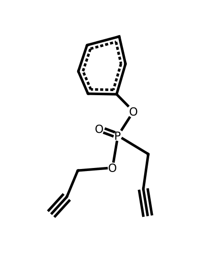 C#CCOP(=O)(CC#C)Oc1ccccc1